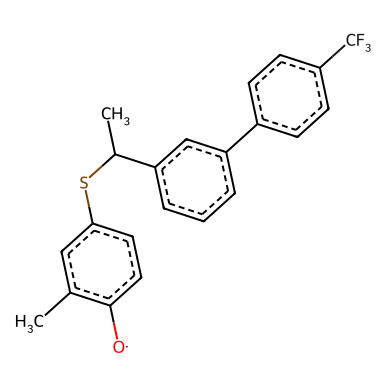 Cc1cc(SC(C)c2cccc(-c3ccc(C(F)(F)F)cc3)c2)ccc1[O]